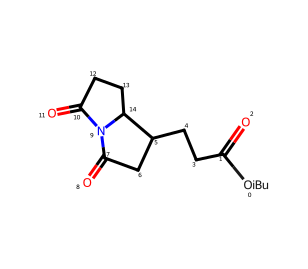 CC(C)COC(=O)CCC1CC(=O)N2C(=O)CCC12